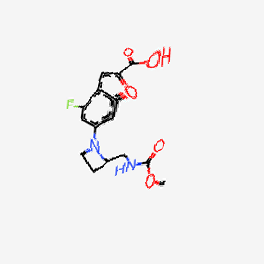 COC(=O)NCC1CCN1c1cc(F)c2cc(C(=O)O)oc2c1